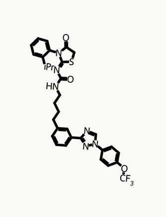 CC(C)c1ccccc1N1C(=O)CSC1=NC(=O)NCCCCc1cccc(-c2ncn(-c3ccc(OC(F)(F)F)cc3)n2)c1